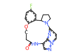 O=C1CCOc2ccc(F)cc2C2CCCN2c2ccn3ncc(c3n2)N1